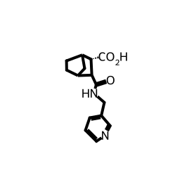 O=C(NCc1cccnc1)C1C2CCC(C2)[C@@H]1C(=O)O